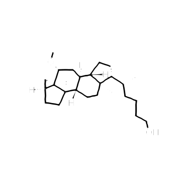 CO[C@@H]1C[C@H]2[C@@H]3CC[C@H]([C@H](C)CCCCO)[C@@]3(C)CC[C@@H]2[C@@]2(C)CC[C@H]3C[C@]312